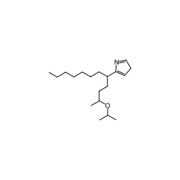 CCCCCCCC(CCC(C)OC(C)C)C1=CCC=N1